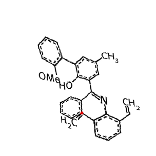 C=Cc1cccc(C=C)c1N=C(c1ccccc1)c1cc(C)cc(-c2ccccc2OC)c1O